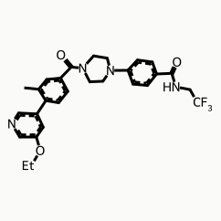 CCOc1cncc(-c2ccc(C(=O)N3CCN(c4ccc(C(=O)NCC(F)(F)F)cc4)CC3)cc2C)c1